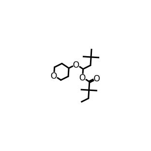 CCC(C)(C)C(=O)OC(CC(C)(C)C)OC1CCOCC1